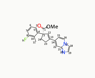 COC(=O)[C@]1(c2cccc(F)c2C)C=C(c2ccn3ccnc3c2)CC1